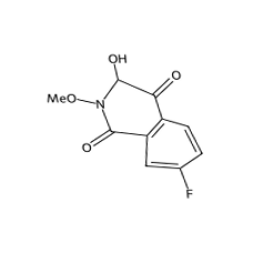 CON1C(=O)c2cc(F)ccc2C(=O)C1O